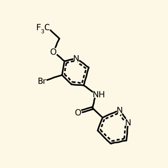 O=C(Nc1cnc(OCC(F)(F)F)c(Br)c1)c1cccnn1